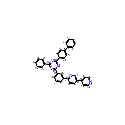 c1ccc(-c2ccc(-c3nc(-c4ccccc4)nc(-c4cccc(-c5ccc(-c6ccncc6)cn5)c4)n3)cc2)cc1